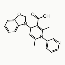 CC1=CC(N2COc3ccccc32)C(C(=O)O)=C(C)N1c1cccnc1